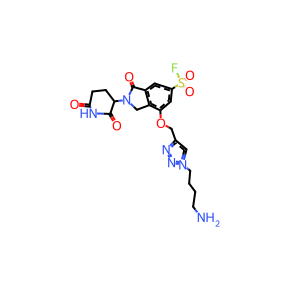 NCCCCn1cc(COc2cc(S(=O)(=O)F)cc3c2CN(C2CCC(=O)NC2=O)C3=O)nn1